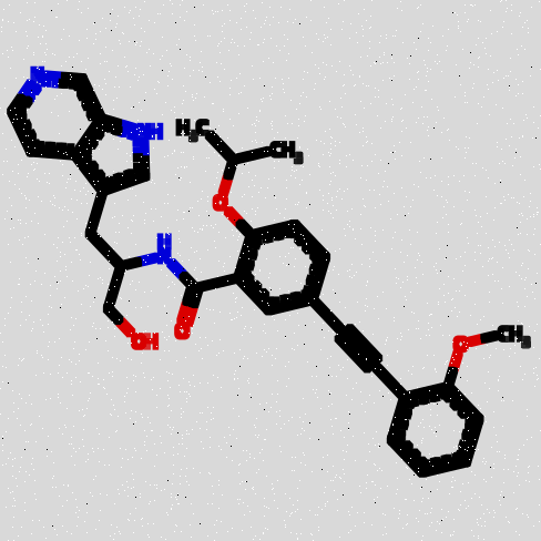 COc1ccccc1C#Cc1ccc(OC(C)C)c(C(=O)NC(CO)Cc2c[nH]c3cnccc23)c1